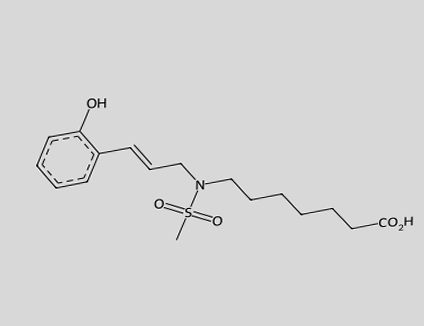 CS(=O)(=O)N(C/C=C/c1ccccc1O)CCCCCCC(=O)O